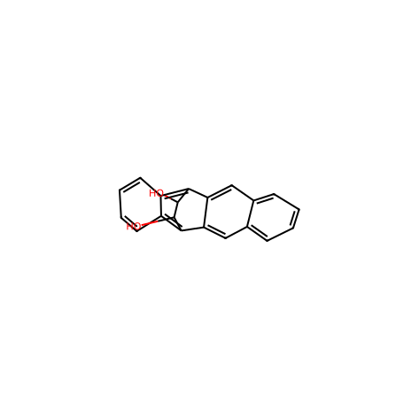 OC1c2c3ccccc3c(c3cc4ccccc4cc23)C1O